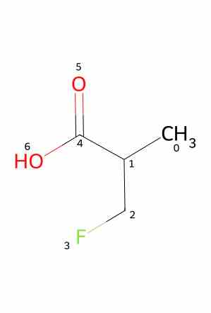 CC(CF)C(=O)O